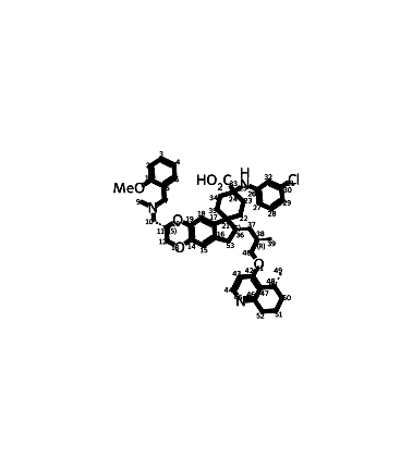 COc1ccccc1CN(C)C[C@H]1COc2cc3c(cc2O1)C1(CCC(Nc2cccc(Cl)c2)(C(=O)O)CC1)[C@@H](C[C@@H](C)COc1ccnc2c1[C@H](C)CCC2)C3